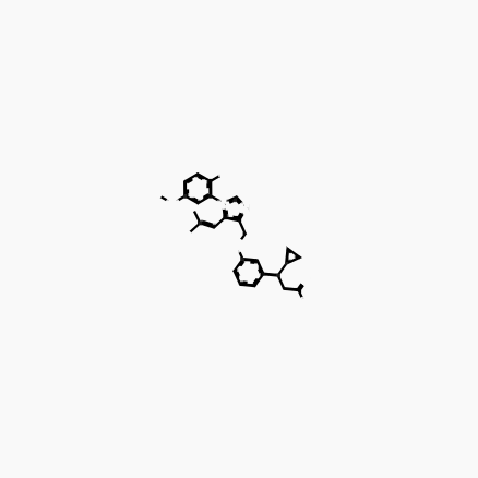 COc1ccc(F)c(-n2cnc(COc3cccc(C(CC(=O)O)C4CC4)c3)c2C=C(C)C)c1